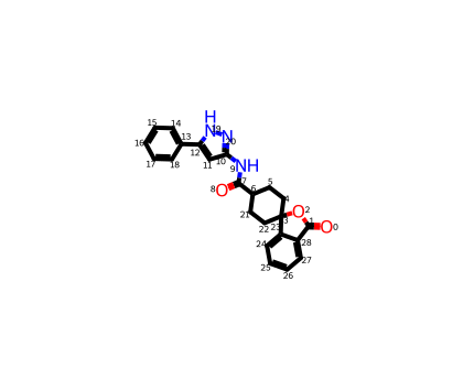 O=C1OC2(CCC(C(=O)Nc3cc(-c4ccccc4)[nH]n3)CC2)c2ccccc21